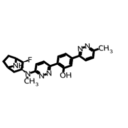 Cc1ccc(-c2ccc(-c3ccc(N(C)[C@H]4CC5CCC(N5)[C@H]4F)nn3)c(O)c2)nn1